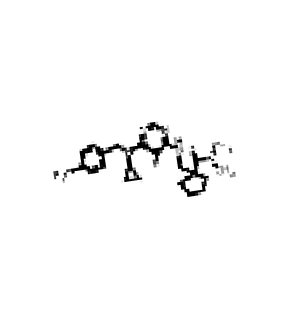 CN(C)C(=O)C1(CNc2ncnc(N(Cc3ccc(C(F)(F)F)cc3)C3CC3)c2F)CCCC1